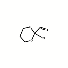 O=CC1(O)OCCCO1